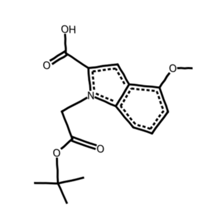 COc1cccc2c1cc(C(=O)O)n2CC(=O)OC(C)(C)C